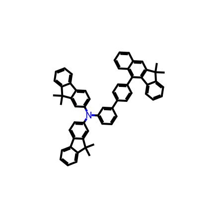 CC1(C)c2ccccc2-c2ccc(N(c3cccc(-c4ccc(-c5c6c(cc7ccccc57)C(C)(C)c5ccccc5-6)cc4)c3)c3ccc4c(c3)C(C)(C)c3ccccc3-4)cc21